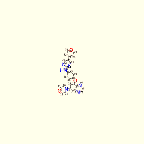 C=Nc1c(/N=C\C)cc(N2CCOCC2)cc1O[C@H]1CC[C@@H](Nc2ncc(C3=CCOCC3)cn2)CC1